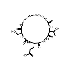 CC(O)C1NC(=O)COCCOCCNC(=O)[C@H](CO)NC(=O)N[C@@H](CCC(=O)O)C(=O)NNC1=O